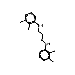 Cc1cccc(NCCCNc2cccc(C)c2C)c1C